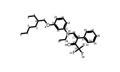 CCCCC(CC)COc1cccc(N(/C=C(\C(=O)C(F)(F)F)c2ccccc2)CC)c1